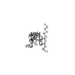 CCCCCCC(CCCCC)OC(=O)C(CC(=O)O)S(=O)(=O)O.[NaH]